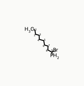 CCCCCCCCCC(P)Br